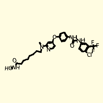 CN(CCCCCCCC(=O)NO)c1cc(Oc2ccc(NC(=O)Nc3ccc(Cl)c(C(F)(F)F)c3)cc2)ccn1